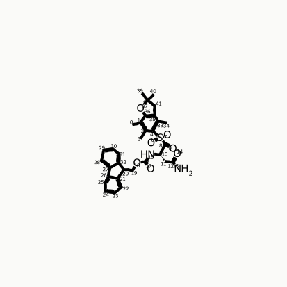 Cc1c(C)c(S(=O)(=O)C(=O)[C@H](CC(N)=O)NC(=O)OCC2c3ccccc3-c3ccccc32)c(C)c2c1OC(C)(C)C2